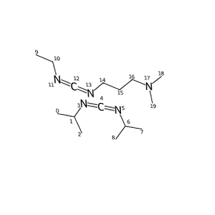 CC(C)N=C=NC(C)C.CCN=C=NCCCN(C)C